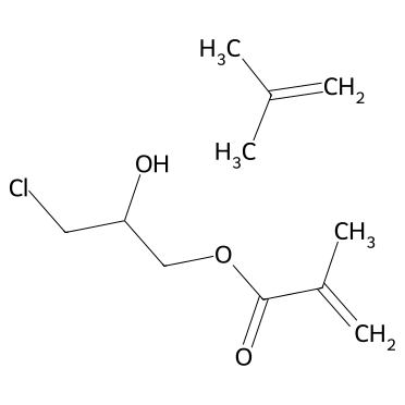 C=C(C)C.C=C(C)C(=O)OCC(O)CCl